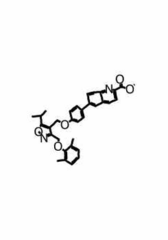 COC(=O)c1ccc2cc(-c3ccc(OCc4c(COc5c(C)cccc5C)noc4C(C)C)cc3)ccc2n1